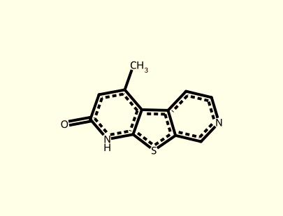 Cc1cc(=O)[nH]c2sc3cnccc3c12